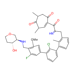 COc1cc(-c2cccc(-c3cccc(CC(=N)C(=O)C4=CC(C)C(=O)C(C)CC4=O)c3C)c2Cl)cc(F)c1CN[C@@H]1COCC[C@H]1O